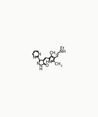 CCNCCc1c(C)[nH]c(C=C2C(=O)NN=C2c2ncccn2)c1C